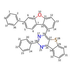 c1ccc(-c2ccc3c(c2)oc2cccc(-c4nc(-c5ccccc5)nc5c4sc4ccccc45)c23)cc1